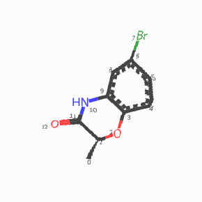 C[C@@H]1Oc2ccc(Br)cc2NC1=O